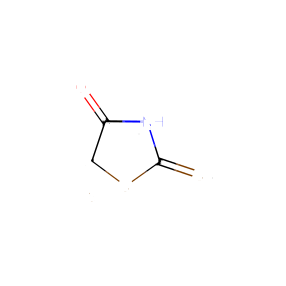 O=C1CSC(=S)N1.[S]